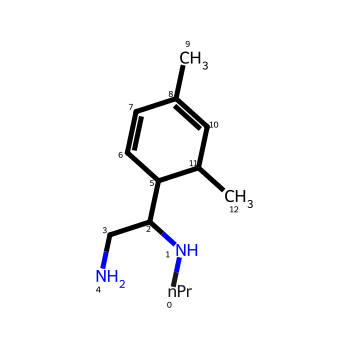 CCCNC(CN)C1C=CC(C)=CC1C